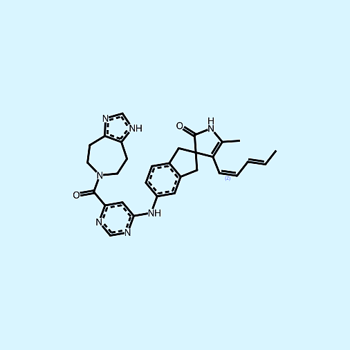 CC=C/C=C\C1=C(C)NC(=O)C12Cc1ccc(Nc3cc(C(=O)N4CCc5nc[nH]c5CC4)ncn3)cc1C2